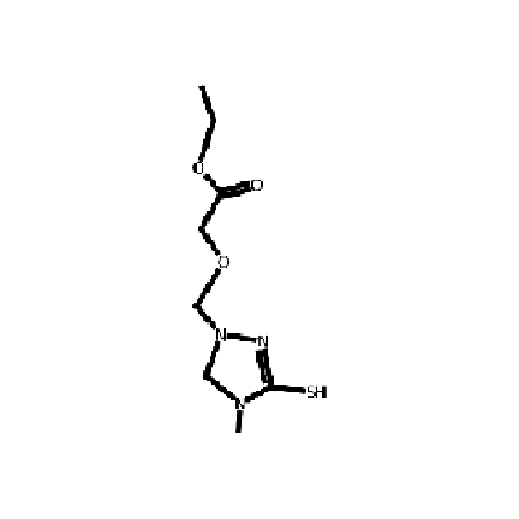 CCOC(=O)COCN1CN(C)C(S)=N1